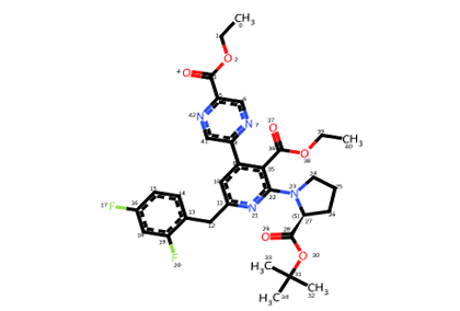 CCOC(=O)c1cnc(-c2cc(Cc3ccc(F)cc3F)nc(N3CCC[C@H]3C(=O)OC(C)(C)C)c2C(=O)OCC)cn1